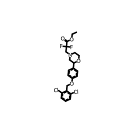 CCOC(=O)C(F)(F)CN1CCOC(c2ccc(OCc3c(Cl)cccc3Cl)cc2)C1